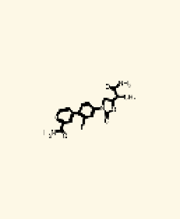 CC(C(N)=O)C1CN(c2ccc(-c3ccnc(C(N)=O)c3)c(F)c2)C(=O)O1